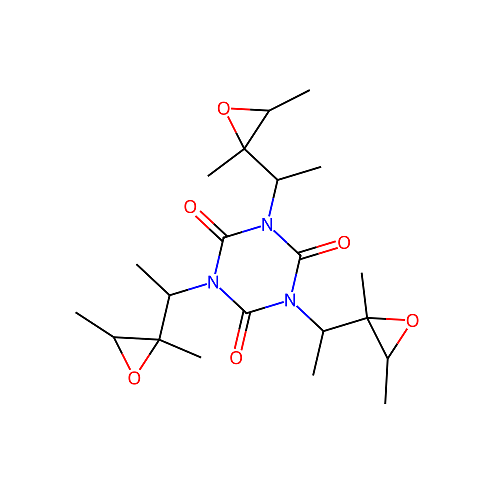 CC1OC1(C)C(C)n1c(=O)n(C(C)C2(C)OC2C)c(=O)n(C(C)C2(C)OC2C)c1=O